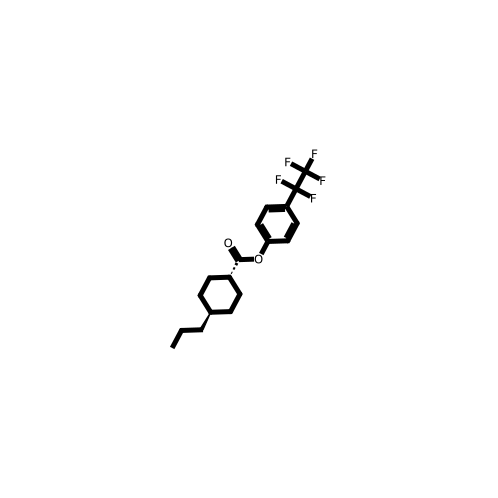 CCC[C@H]1CC[C@H](C(=O)Oc2ccc(C(F)(F)C(F)(F)F)cc2)CC1